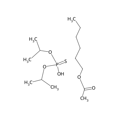 CC(C)OP(O)(=S)OC(C)C.CCCCCCOC(C)=O